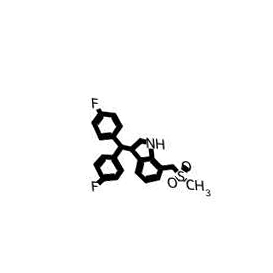 CS(=O)(=O)Cc1cccc2c1NCC2C(c1ccc(F)cc1)c1ccc(F)cc1